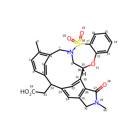 Cc1ccc2cc1CN1C[C@H](Oc3ccccc3S1(=O)=O)c1cc(cc3c1C(=O)N(C)C3)C2CC(=O)O